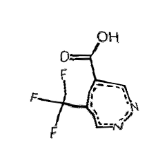 O=C(O)c1cnncc1C(F)(F)F